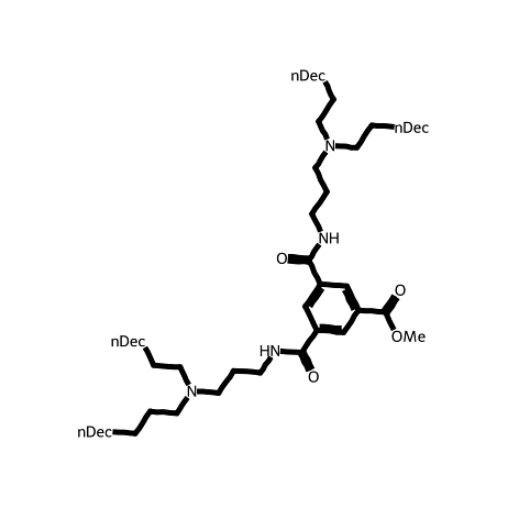 CCCCCCCCCCCCCN(CCCCCCCCCCCC)CCCNC(=O)c1cc(C(=O)NCCCN(CCCCCCCCCCCC)CCCCCCCCCCCC)cc(C(=O)OC)c1